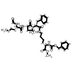 COC(=O)[C@H](CCCCNC(=O)[C@H](Cc1ccccc1)N1C(=O)[C@@H](NC(=O)[C@H](CCSC)NC=O)CC1C)NC(=O)OCc1ccccc1